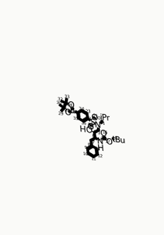 CC(C)CN(C[C@@H](O)C(Cc1ccccc1)NC(=O)OC(C)(C)C)S(=O)(=O)c1ccc(B2OC(C)(C)C(C)(C)O2)cc1